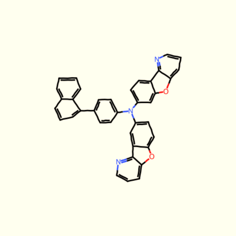 c1ccc2c(-c3ccc(N(c4ccc5c(c4)oc4cccnc45)c4ccc5oc6cccnc6c5c4)cc3)cccc2c1